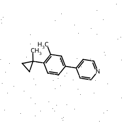 Cc1cc(-c2ccncc2)ccc1C1(C)CC1